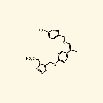 CC(=NOCc1ccc(C(F)(F)F)cc1)c1ccc(OCc2nnnn2CC(=O)O)nc1